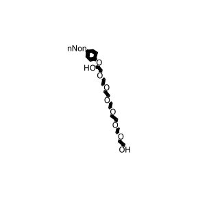 CCCCCCCCCc1ccc(OC(O)COCCOCCOCCOCCOCCOCCO)cc1